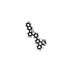 c1cc(-c2ccc3c4ccccc4c4nccnc4c3c2)cc(-c2cccc3c2oc2cc4ccccc4cc23)c1